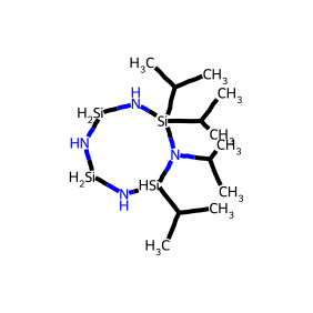 CC(C)N1[SiH](C(C)C)N[SiH2]N[SiH2]N[Si]1(C(C)C)C(C)C